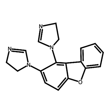 C1=NCCN1c1ccc2oc3ccccc3c2c1N1C=NCC1